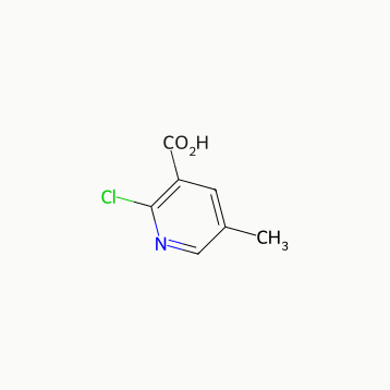 Cc1cnc(Cl)c(C(=O)O)c1